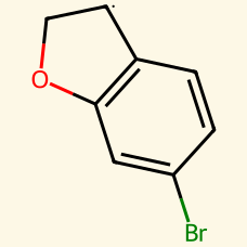 Brc1ccc2c(c1)OC[CH]2